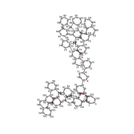 c1ccc(-c2cc(-c3ccc(-c4cccc5c4ccc4cc(-c6ccccc6N(c6ccc7c(c6)C(c6ccccc6)(c6ccccc6)c6ccccc6-7)c6ccccc6-c6ccc7c(ccc8ccccc87)c6)ccc45)cc3)cc(-c3ccc(N(c4ccccc4-c4ccc5c(ccc6ccccc65)c4)c4ccccc4-c4ccc5c(ccc6ccccc65)c4)cc3)c2)cc1